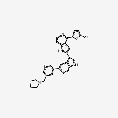 CC(=O)c1ccc(-c2nccc3[nH]c(-c4n[nH]c5cnc(-c6cncc(CN7CCCC7)c6)cc45)cc23)s1